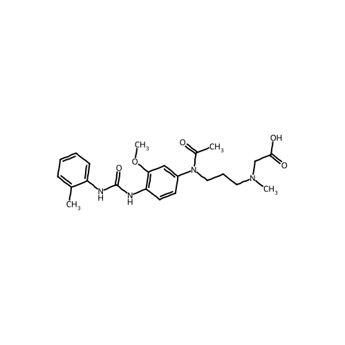 COc1cc(N(CCCN(C)CC(=O)O)C(C)=O)ccc1NC(=O)Nc1ccccc1C